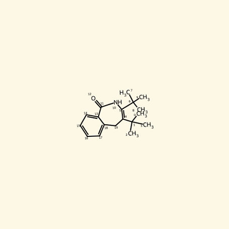 CC(C)(C)C1=C(C(C)(C)C)NC(=O)c2ccccc2C1